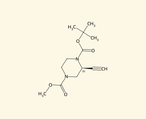 C#C[C@H]1CN(C(=O)OC)CCN1C(=O)OC(C)(C)C